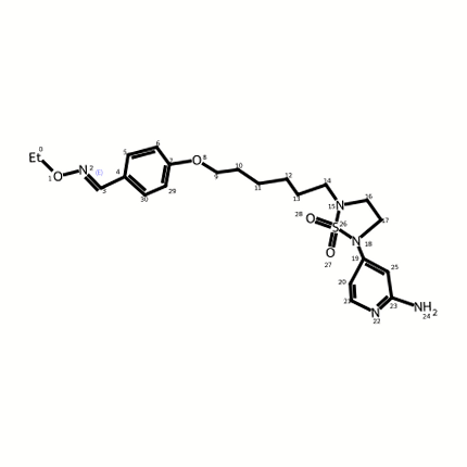 CCO/N=C/c1ccc(OCCCCCCN2CCN(c3ccnc(N)c3)S2(=O)=O)cc1